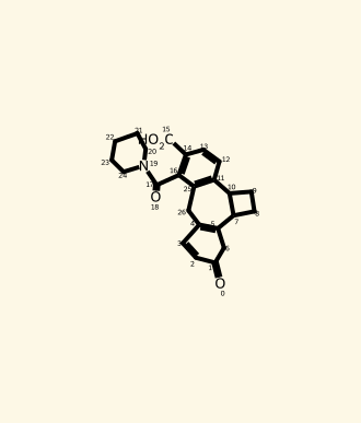 O=C1C=CC2=C(C1)C1CCC1c1ccc(C(=O)O)c(C(=O)N3CCCCC3)c1C2